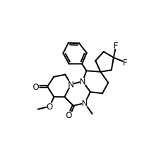 COC1C(=O)CCN2C1C(=O)N(C)C1CCC3(CCC(F)(F)C3)C(c3ccccc3)N12